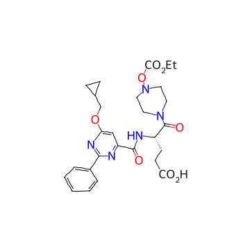 CCOC(=O)ON1CCN(C(=O)[C@H](CCC(=O)O)NC(=O)c2cc(OCC3CC3)nc(-c3ccccc3)n2)CC1